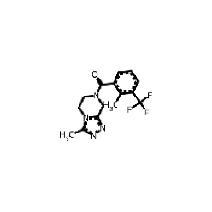 Cc1c(C(=O)N2CCn3c(C)nnc3C2)cccc1C(F)(F)F